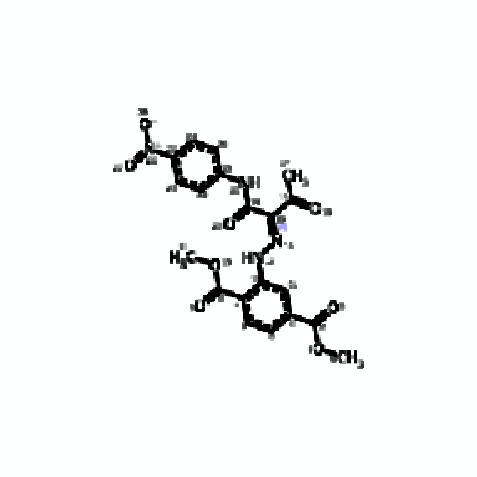 COC(=O)c1ccc(C(=O)OC)c(N/N=C(/C(C)=O)C(=O)Nc2ccc([N+](=O)[O-])cc2)c1